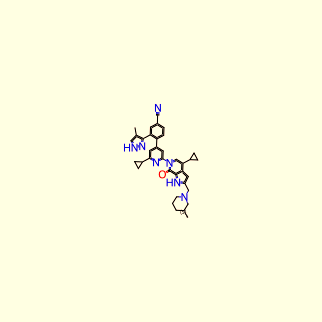 Cc1c[nH]nc1-c1cc(C#N)ccc1-c1cc(C2CC2)nc(-n2cc(C3CC3)c3cc(CN4CCC[C@H](C)C4)[nH]c3c2=O)c1